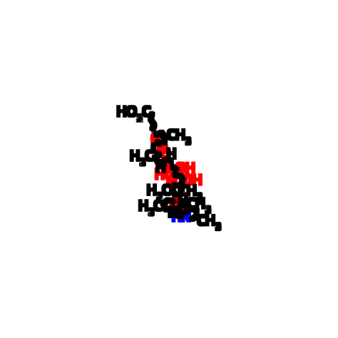 C=C(C[C@@]12C[C@@H](C)C[C@@H](O1)[C@H]1O[C@]3(C[C@H]1O2)NC[C@H](C)C[C@@H]3C)[C@H]1O[C@@](O)([C@H](O)[C@@H]2C[C@H]3O[C@@]4(CC[C@]5(CC(C)=C[C@@H](/C=C/CCC(=O)O)O5)O4)[C@H](C)C[C@H]3O2)C[C@H](O)[C@@H]1C